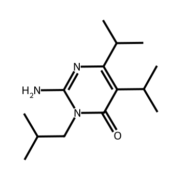 CC(C)Cn1c(N)nc(C(C)C)c(C(C)C)c1=O